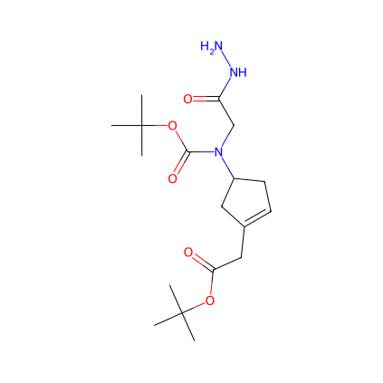 CC(C)(C)OC(=O)CC1=CCC(N(CC(=O)NN)C(=O)OC(C)(C)C)C1